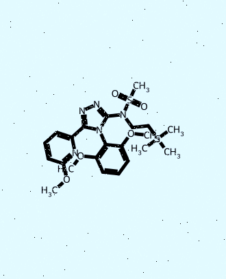 COc1cccc(-c2nnc(N(CCS(C)(C)C)S(C)(=O)=O)n2-c2c(OC)cccc2OC)n1